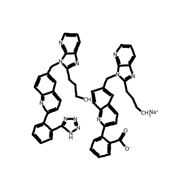 CCCCc1nc2cccnc2n1Cc1ccc2nc(-c3ccccc3-c3nnn[nH]3)ccc2c1.CCCCc1nc2cccnc2n1Cc1ccc2nc(-c3ccccc3C(=O)[O-])ccc2c1.[Na+]